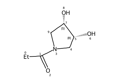 CCC(=O)N1C[C@@H](O)[C@@H](O)C1